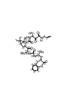 C=CCNC(=O)C(=O)C(CCC)NC(=O)[C@@H]1[C@@H]2C(CN1C(=O)[C@@H](NC(=O)N[C@H](CN1Cc3ccccc3CC1=O)C(C)(C)C)C(C)(C)C)C2(C)C